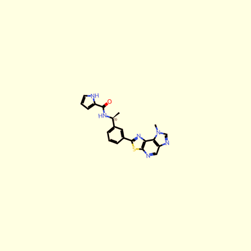 C[C@H](NC(=O)c1ccc[nH]1)c1cccc(-c2nc3c(ncc4ncn(C)c43)s2)c1